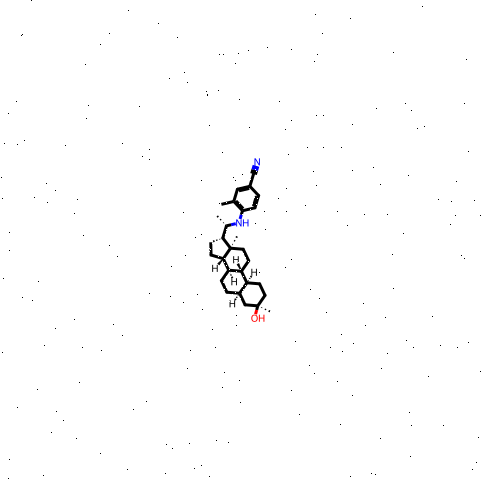 Cc1cc(C#N)ccc1N[C@@H](C)[C@H]1CC[C@H]2[C@@H]3CC[C@@H]4C[C@](C)(O)CC[C@@H]4[C@H]3CC[C@]12C